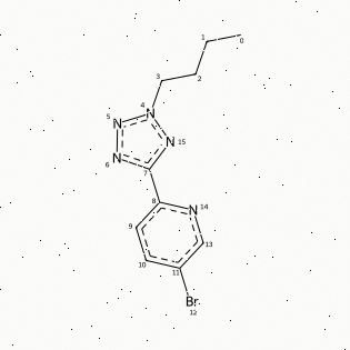 CCCCn1nnc(-c2ccc(Br)cn2)n1